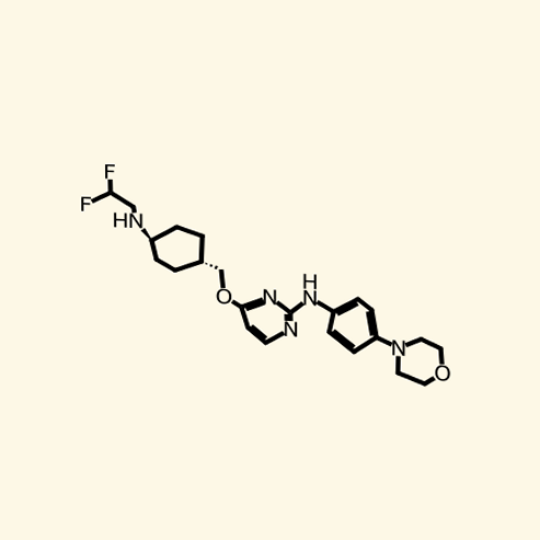 FC(F)CN[C@H]1CC[C@H](COc2ccnc(Nc3ccc(N4CCOCC4)cc3)n2)CC1